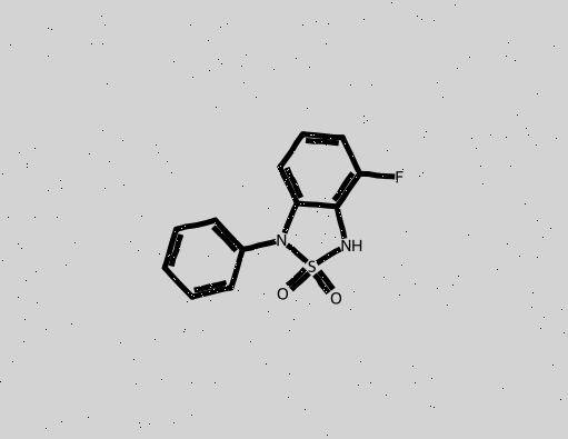 O=S1(=O)Nc2c(F)cccc2N1c1ccccc1